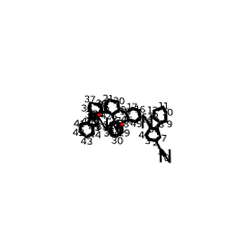 N#Cc1ccc2c(c1)c1ccccc1n2-c1ccc(-c2cccc(C#N)c2-c2ccccc2-n2c3ccccc3c3ccccc32)c(C#N)c1